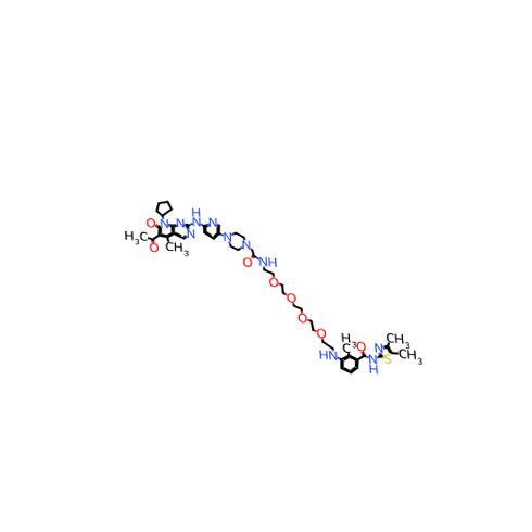 CC(=O)c1c(C)c2cnc(Nc3ccc(N4CCN(CC(=O)NCCOCCOCCOCCOCCNc5cccc(C(=O)Nc6nc(C)c(C)s6)c5C)CC4)cn3)nc2n(C2CCCC2)c1=O